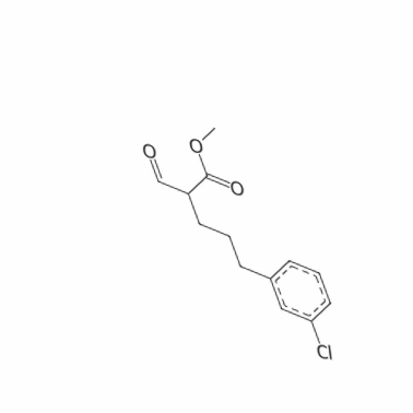 COC(=O)C(C=O)CCCc1cccc(Cl)c1